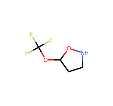 FC(F)(F)OC1[CH]CNO1